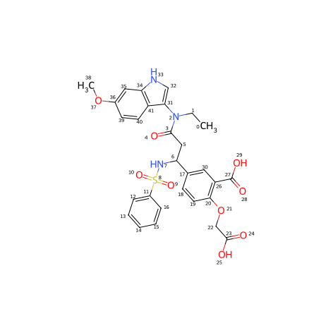 CCN(C(=O)CC(NS(=O)(=O)c1ccccc1)c1ccc(OCC(=O)O)c(C(=O)O)c1)c1c[nH]c2cc(OC)ccc12